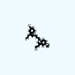 CCCc1cn(CCCn2cc(CCC)c3cc(OC)ccc32)c2ccc(C)cc12